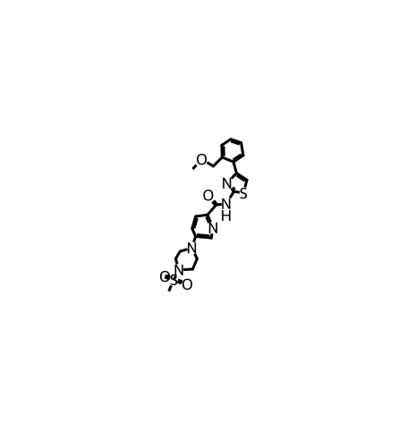 COCc1ccccc1-c1csc(NC(=O)c2ccc(N3CCN(S(C)(=O)=O)CC3)cn2)n1